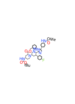 COC(=O)Nc1ccc(-c2cnc(C3NCC(N4CCC(NC(=O)OC(C)(C)C)CC4C(=O)OCc4ccccc4)CC3c3ccc(F)cc3)[nH]2)cc1